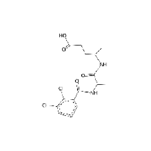 CC(CCC(=O)O)NC(=O)C(C)NC(=O)c1cccc(Cl)c1Cl